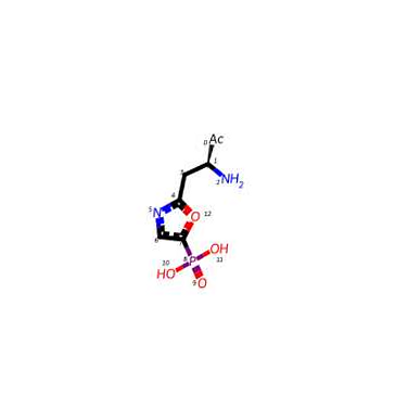 CC(=O)[C@@H](N)Cc1ncc(P(=O)(O)O)o1